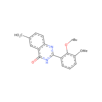 CCCCOc1c(OC)cccc1-c1nc2ccc(C(=O)O)cc2c(=O)[nH]1